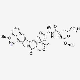 C=C1OCc2c(cc3n(c2=O)Cc2c-3cc3ccccc3c2/C=N\OC(C)(C)C)[C@]1(CC)OC(=O)C(NC(=O)[C@H](CCC(=O)O)NC(=O)OC(C)(C)C)C(C)C